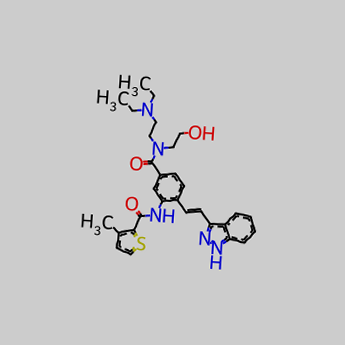 CCN(CC)CCN(CCO)C(=O)c1ccc(C=Cc2n[nH]c3ccccc23)c(NC(=O)c2sccc2C)c1